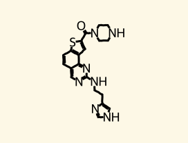 O=C(c1cc2c(ccc3cnc(NCCc4c[nH]cn4)nc32)s1)N1CCNCC1